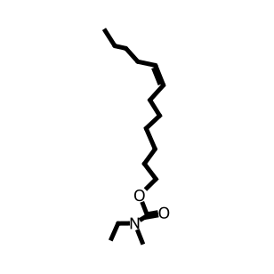 CCCC/C=C\CCCCCCOC(=O)N(C)CC